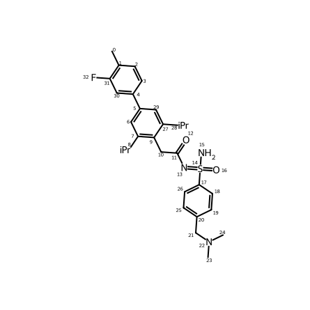 Cc1ccc(-c2cc(C(C)C)c(CC(=O)N=S(N)(=O)c3ccc(CN(C)C)cc3)c(C(C)C)c2)cc1F